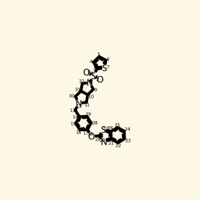 O=S(=O)(c1cccs1)N1CC2CN(Cc3ccc(Oc4nc5ccccc5s4)cc3)CC2C1